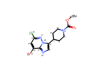 CC(C)(C)OC(=O)N1CCC(c2cnc3c(Br)cc(Cl)nn23)CC1